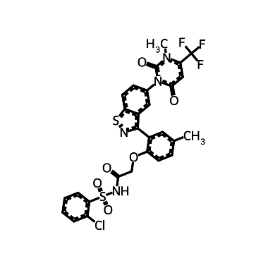 Cc1ccc(OCC(=O)NS(=O)(=O)c2ccccc2Cl)c(-c2nsc3ccc(-n4c(=O)cc(C(F)(F)F)n(C)c4=O)cc23)c1